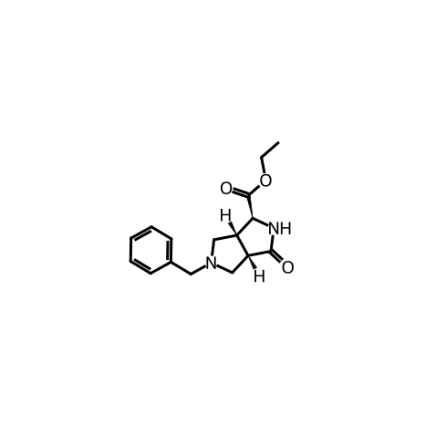 CCOC(=O)[C@H]1NC(=O)[C@@H]2CN(Cc3ccccc3)C[C@H]12